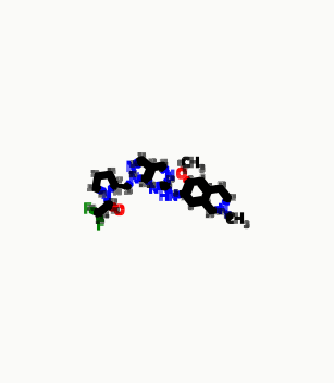 COc1cc2c(cc1Nc1ncc3cnn(C[C@@H]4CCCN4C(=O)C(F)F)c3n1)CN(C)CC2